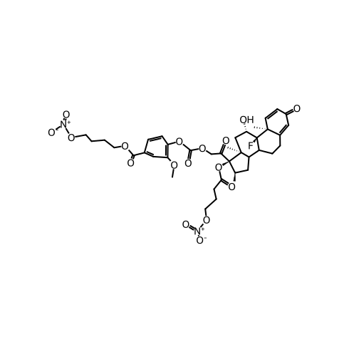 COc1cc(C(=O)OCCCCO[N+](=O)[O-])ccc1OC(=O)OCC(=O)[C@@]1(OC(=O)CCCO[N+](=O)[O-])[C@H](C)CC2C3CCC4=CC(=O)C=C[C@]4(C)[C@@]3(F)[C@@H](O)C[C@@]21C